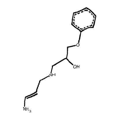 NC=CCNCC(O)COc1ccccc1